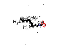 C/C(=C\C(=O)[O-])CCC[C@H](C)CCC[C@H](C)CCCC(C)C.[Na+]